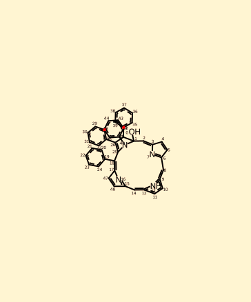 OC12C=C3C=CC(=N3)C=c3ccc([nH]3)=CC3=NC(=C(c4ccccc4)C(=C(c4ccccc4)C1c1ccccc1)N2c1ccccc1)C=C3